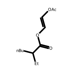 CCCCC(CC)C(=O)OC=COC(C)=O